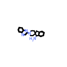 N[C@@H]1c2ccccc2CC12CCN(c1cnc3ccccc3n1)CC2